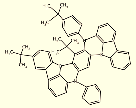 CC(C)(C)c1ccc(N2c3cccc4c3B(c3ccccc3-4)c3cc4c(c(C(C)(C)C)c32)B2c3ccc(C(C)(C)C)cc3-c3cccc(c32)N4c2ccccc2)cc1